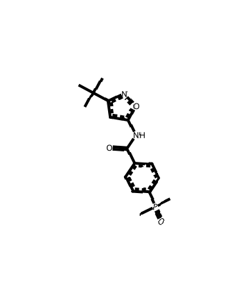 CC(C)(C)c1cc(NC(=O)c2ccc(P(C)(C)=O)cc2)on1